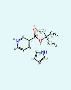 CC(C)(C)OC(=O)c1cccnc1.c1cc[nH]c1